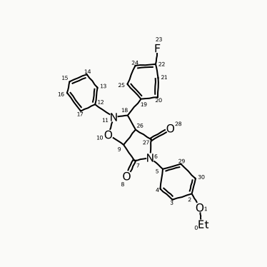 CCOc1ccc(N2C(=O)C3ON(c4ccccc4)C(c4ccc(F)cc4)C3C2=O)cc1